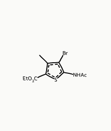 CCOC(=O)c1sc(NC(C)=O)c(Br)c1C